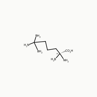 BC(B)(N)CCC[C@](B)(N)C(=O)O